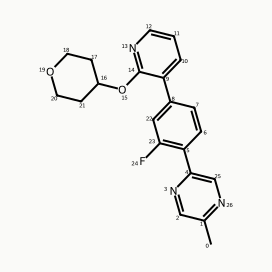 Cc1cnc(-c2ccc(-c3cccnc3OC3CCOCC3)cc2F)cn1